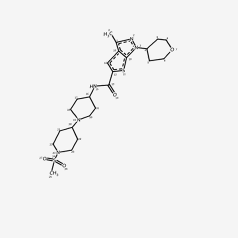 Cc1nn(C2CCOCC2)c2sc(C(=O)NC3CCN(C4CCN(S(C)(=O)=O)CC4)CC3)cc12